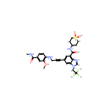 CNC(=O)c1ccc(NCC#Cc2cc(C(=O)NC3CCS(=O)(=O)CC3)c3ncn(CC(F)(F)F)c3c2)c(OC)c1